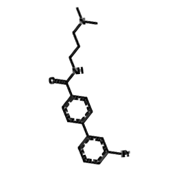 CC(C)c1cccc(-c2ccc(C(=O)NCCCN(C)C)cc2)c1